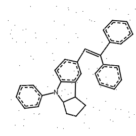 C(=C(c1ccccc1)c1ccccc1)c1ccc2c(c1)C1CCCC1N2c1ccccc1